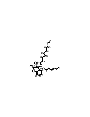 CCC=CCCOc1cccc2oc(=O)c(O)c(OCCCCCCCCCC)c12